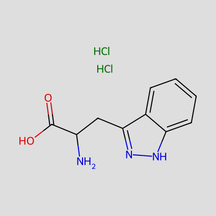 Cl.Cl.NC(Cc1n[nH]c2ccccc12)C(=O)O